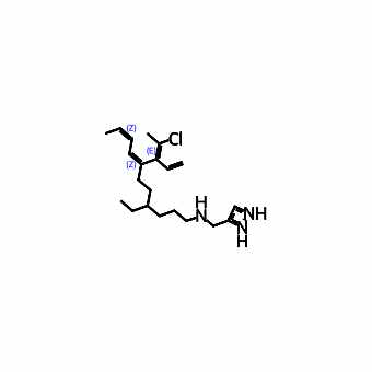 C=CC(/C(=C\C=C/C)CCC(CC)CCCNCc1c[nH][nH]1)=C(/C)Cl